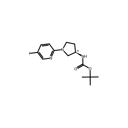 CC(C)(C)OC(=O)N[C@@H]1CCN(c2ccc(I)cn2)C1